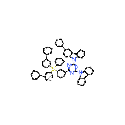 c1ccc(-c2cccc(S(c3ccccc3)(c3cccc(-c4ccccc4)c3)c3cccc(-c4nc(-n5c6ccccc6c6ccccc65)nc(-n5c6ccccc6c6cc(-c7ccccc7)ccc65)n4)c3)c2)cc1